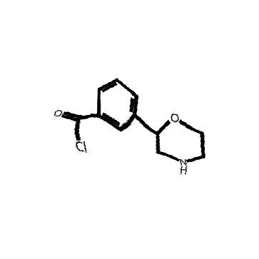 O=C(Cl)c1cccc(C2CNCCO2)c1